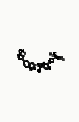 CN(C)C1CN(c2ncc(C(=O)Nc3cc4cc(-c5cnn(C)c5)ccc4nn3)s2)C1